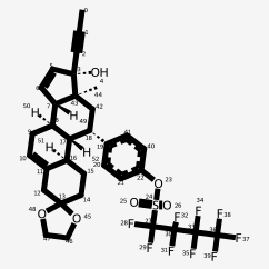 CC#C[C@]1(O)C=C[C@H]2[C@@H]3CC=C4CC5(CC[C@@H]4[C@H]3[C@@H](c3ccc(OS(=O)(=O)C(F)(F)C(F)(F)C(F)(F)C(F)(F)F)cc3)C[C@@]21C)OCCO5